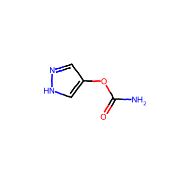 NC(=O)Oc1cn[nH]c1